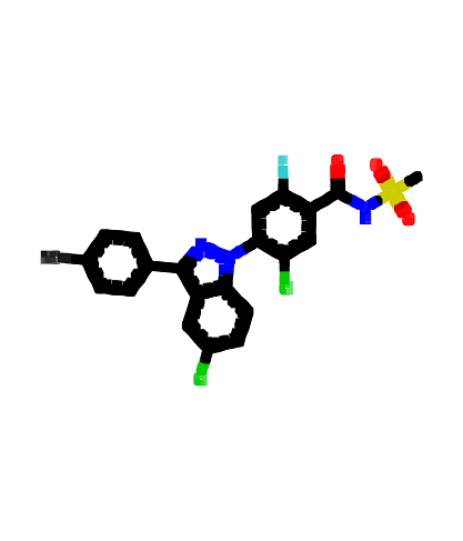 CS(=O)(=O)NC(=O)c1cc(Cl)c(-n2nc(-c3ccc(C#N)cc3)c3cc(Cl)ccc32)cc1F